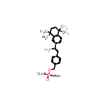 CNP(=O)(NC)OCc1ccc(/C=C(\C)c2ccc3c(c2)C(C)(C)CCC3(C)C)cc1